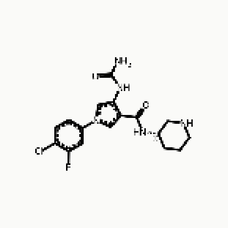 NC(=O)Nc1cn(-c2ccc(Cl)c(F)c2)cc1C(=O)N[C@H]1CCCNC1